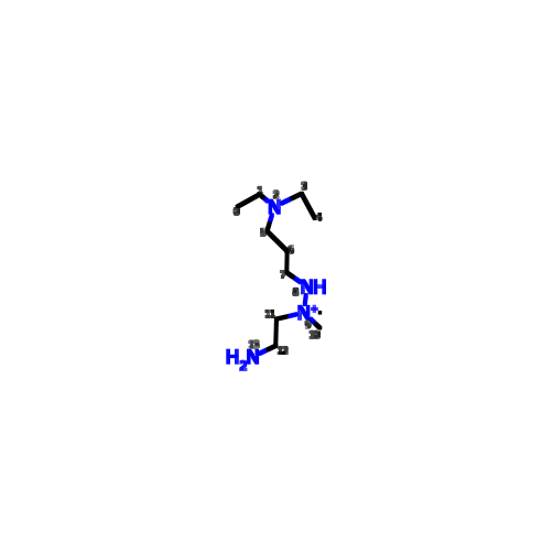 CCN(CC)CCCN[N+](C)CCN